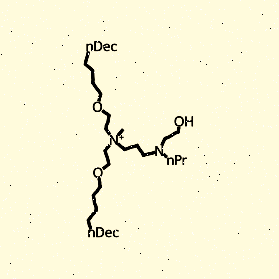 CCCCCCCCCCCCCCOCC[N+](C)(CCCN(CCC)CCO)CCOCCCCCCCCCCCCCC